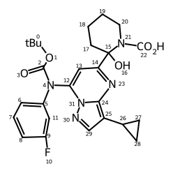 CC(C)(C)OC(=O)N(c1cccc(F)c1)c1cc(C2(O)CCCCN2C(=O)O)nc2c(C3CC3)cnn12